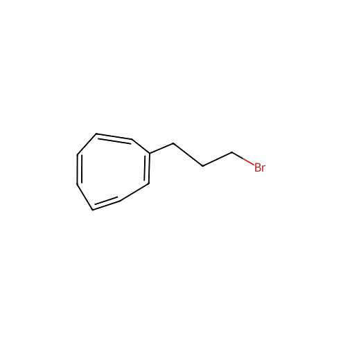 BrCCCC1=CC=CC=CC=C1